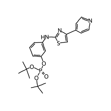 CC(C)(C)OP(=O)(Oc1cccc(Nc2nc(-c3ccncc3)cs2)c1)OC(C)(C)C